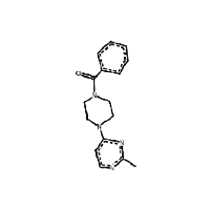 Cc1nccc(N2CCN(C(=O)c3ccccc3)CC2)n1